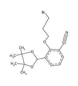 CC1(C)OC(c2cccc(C#N)c2OCCCBr)OC1(C)C